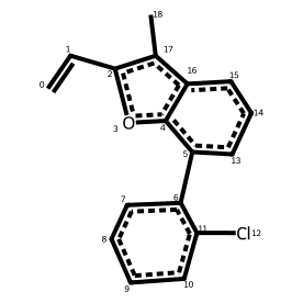 C=Cc1oc2c(-c3ccccc3Cl)cccc2c1C